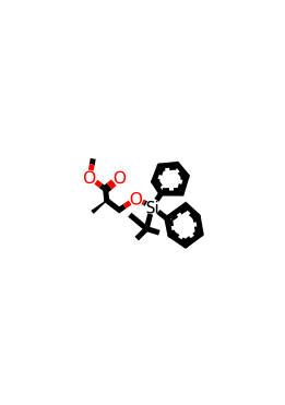 COC(=O)[C@H](C)CO[Si](c1ccccc1)(c1ccccc1)C(C)(C)C